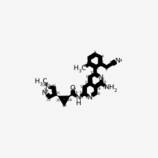 Cc1cccc(CC#N)c1-c1cc2cc(NC(=O)[C@H]3C[C@@H]3c3cnn(C)c3)ncc2c(N)n1